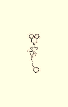 O=C(O[C@H]1C[N+]2(CCCc3ccccc3)CCC1CC2)N(Cc1ccco1)Cc1cccs1